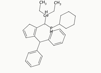 C[CH2][GeH]([CH2]C)[C](PC1CCCCC1)C1=C(C(c2ccccc2)c2ccccc2)C=CC1